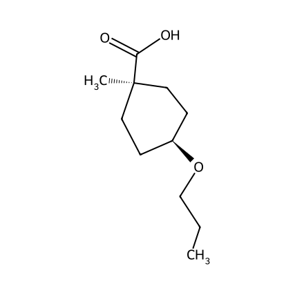 CCCO[C@H]1CC[C@@](C)(C(=O)O)CC1